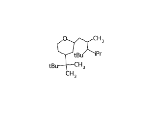 CC(C)C(C(C)CC1CC(C(C)(C)C(C)(C)C)CCO1)C(C)(C)C